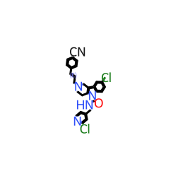 N#Cc1ccc(/C=C/CN2CCc3c(c4cc(Cl)ccc4n3C(=O)NCc3ccnc(Cl)c3)C2)cc1